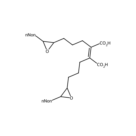 CCCCCCCCCC1OC1CCCC(C(=O)O)=C(CCCC1OC1CCCCCCCCC)C(=O)O